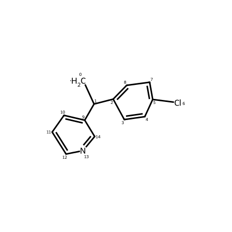 [CH2]C(c1ccc(Cl)cc1)c1cccnc1